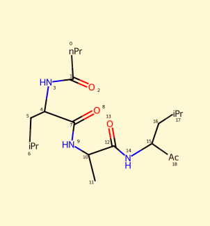 CCCC(=O)NC(CC(C)C)C(=O)NC(C)C(=O)NC(CC(C)C)C(C)=O